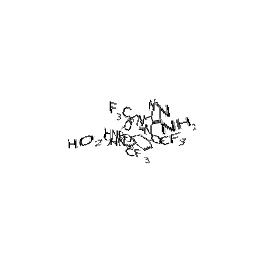 CC(C)(N[P@](=O)(CO[C@H](Cn1cnc2c(N)ncnc21)C(F)(F)F)N[C@H](c1ccc(OC(F)(F)F)cc1)C(F)(F)F)C(=O)O